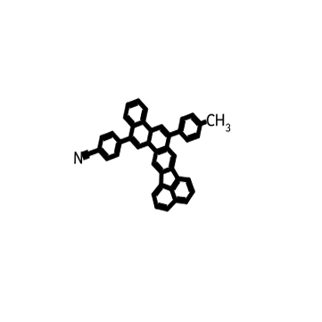 Cc1ccc(C2=CC3c4ccccc4C(c4ccc(C#N)cc4)=CC3c3cc4c(cc32)-c2cccc3cccc-4c23)cc1